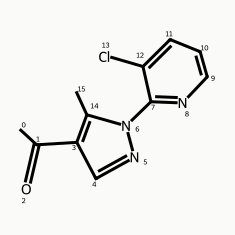 CC(=O)c1cnn(-c2ncccc2Cl)c1C